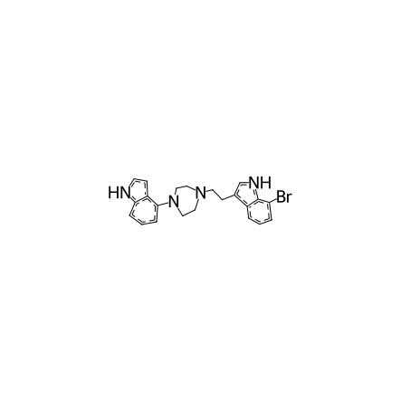 Brc1cccc2c(CCN3CCN(c4cccc5[nH]ccc45)CC3)c[nH]c12